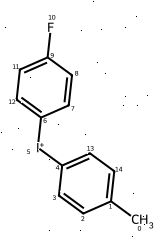 Cc1ccc([I+]c2ccc(F)cc2)cc1